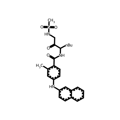 CCCCC(NC(=O)c1ccc(Nc2ccc3ccccc3c2)cc1C)C(=O)CNS(C)(=O)=O